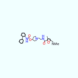 CNCc1cc(C)c(C(=O)NCCN2CCC(OC(=O)Nc3ccccc3-c3ccccc3)CC2)o1